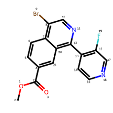 COC(=O)c1ccc2c(Br)cnc(-c3ccncc3F)c2c1